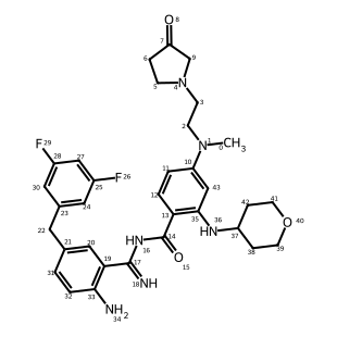 CN(CCN1CCC(=O)C1)c1ccc(C(=O)NC(=N)c2cc(Cc3cc(F)cc(F)c3)ccc2N)c(NC2CCOCC2)c1